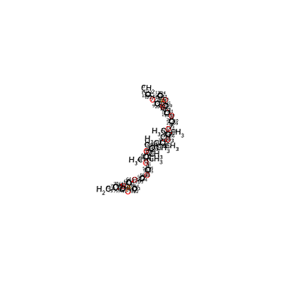 C=Cc1ccc(COc2ccc(OCc3ccc(Oc4ccc(COc5c(C)cc(Oc6c(C)cc(C(C)(C)c7cc(C)c(Oc8cc(C)c(OCc9ccc(Oc%10ccc(COc%11ccc(OCc%12ccc(C=C)cc%12)c(P(=O)(c%12ccccc%12)c%12ccccc%12)c%11)cc%10)cc9)c(C)c8)c(C)c7)cc6C)cc5C)cc4)cc3)c(P(=O)(c3ccccc3)c3ccccc3)c2)cc1